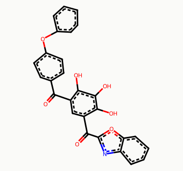 O=C(c1ccc(Oc2ccccc2)cc1)c1cc(C(=O)c2nc3ccccc3o2)c(O)c(O)c1O